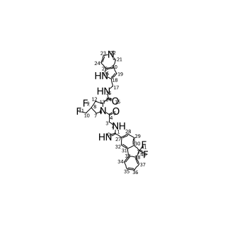 N=C(NCC(=O)N1C[C@@](F)(CF)C[C@H]1C(=O)NCc1cc2cnccc2[nH]1)c1ccc2c(c1)-c1ccccc1C2(F)F